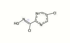 O/N=C(\Cl)c1ncc(Cl)cn1